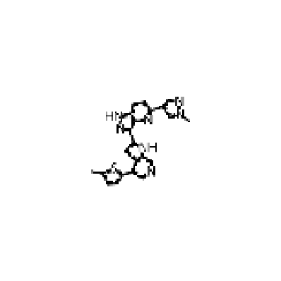 Cc1ccc(-c2cncc3[nH]c(-c4n[nH]c5ccc(-c6cnn(C)c6)nc45)cc23)s1